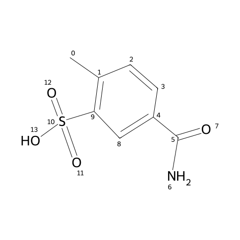 Cc1ccc(C(N)=O)cc1S(=O)(=O)O